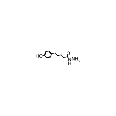 NNC(=O)CCCCc1ccc(O)cc1